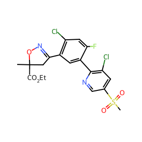 CCOC(=O)C1(C)CC(c2cc(-c3ncc(S(C)(=O)=O)cc3Cl)c(F)cc2Cl)=NO1